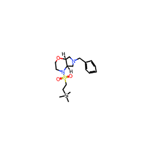 C[Si](C)(C)CCS(=O)(=O)N1CCO[C@@H]2CN(Cc3ccccc3)C[C@@H]21